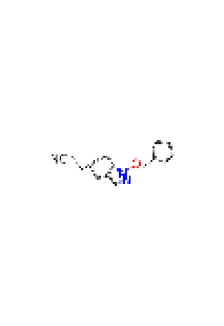 N#CCCc1ccc2c(cnn2OCc2ccccc2)c1